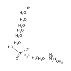 O.O.O.O.O.O.O.O.O.O.O.O.O=[N+]([O-])O.[Th]